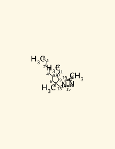 CCCCCCCC(C)(CCCC)Cn1cnc(C)c1